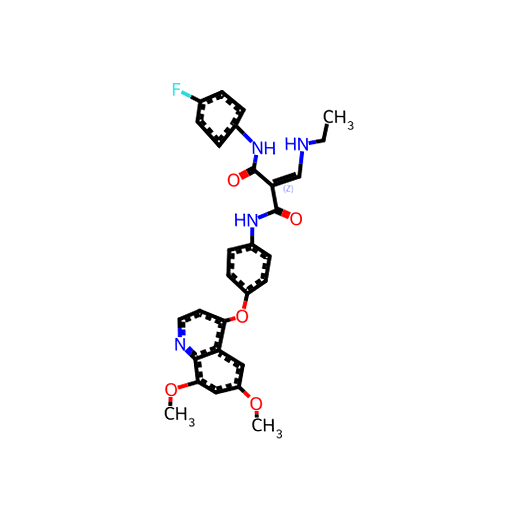 CCN/C=C(\C(=O)Nc1ccc(F)cc1)C(=O)Nc1ccc(Oc2ccnc3c(OC)cc(OC)cc23)cc1